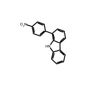 O=[N+]([O-])c1ccc(-c2cccc3c2[nH]c2ccccc23)cc1